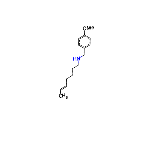 CC=CCCCCNCc1ccc(OC)cc1